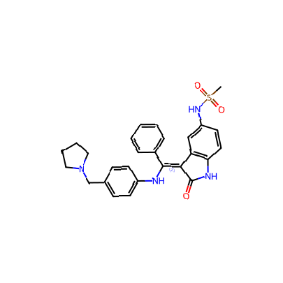 CS(=O)(=O)Nc1ccc2c(c1)/C(=C(/Nc1ccc(CN3CCCC3)cc1)c1ccccc1)C(=O)N2